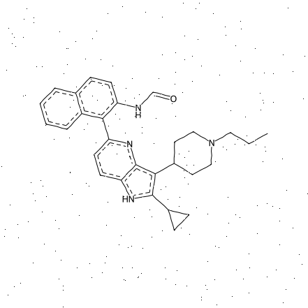 CCCN1CCC(c2c(C3CC3)[nH]c3ccc(-c4c(NC=O)ccc5ccccc45)nc23)CC1